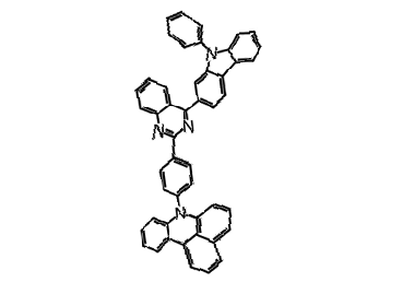 c1ccc(-n2c3ccccc3c3ccc(-c4nc(-c5ccc(N6c7ccccc7-c7cccc8cccc6c78)cc5)nc5ccccc45)cc32)cc1